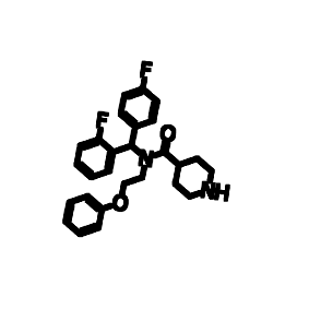 O=C(C1CCNCC1)N(CCOc1ccccc1)C(c1ccc(F)cc1)c1ccccc1F